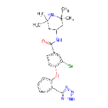 CC1(C)CC(NC(=O)c2ccc(Oc3ccccc3-c3nn[nH]n3)c(Br)c2)CC(C)(C)N1